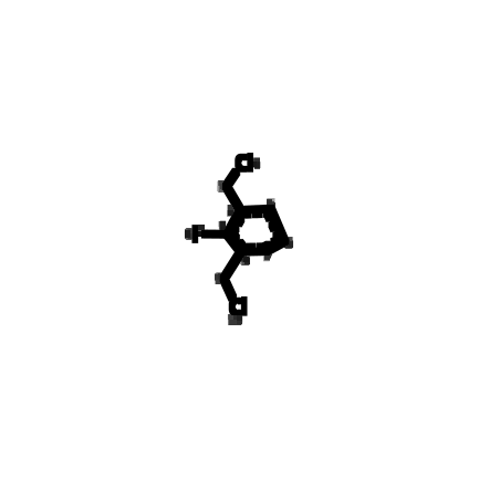 Fc1c(CCl)cccc1CCl